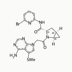 CSc1cn(CC(=O)N2[C@@H]3C[C@@H]3C[C@H]2C(=O)Nc2cccc(Br)n2)c2ncnc(N)c12